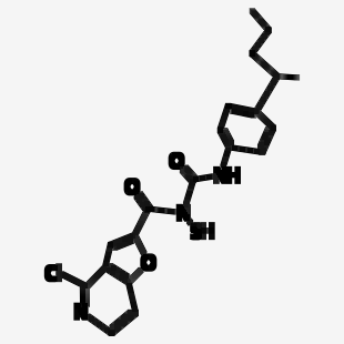 CCCC(C)c1ccc(NC(=O)N(S)C(=O)c2cc3c(Cl)nccc3o2)cc1